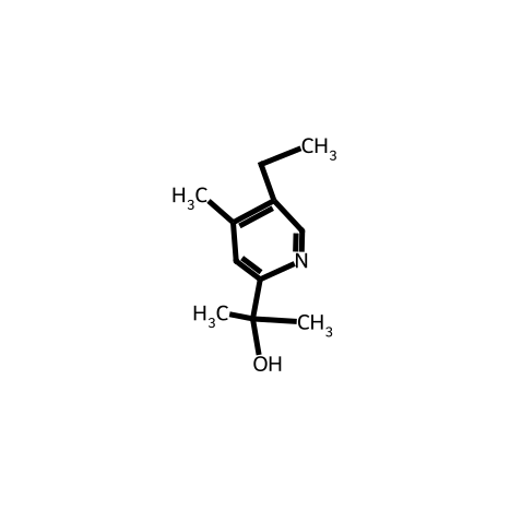 CCc1cnc(C(C)(C)O)cc1C